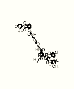 COc1ncc(C(=O)NCCOCCOCCNC(=O)COc2cccc3c2C(=O)N(C2CCC(=O)NC2=O)C3=O)cc1-c1nc2c(n1C(C)C)[C@H](c1ccc(Cl)cc1)N(c1cc(Cl)cn(C)c1=O)C2=O